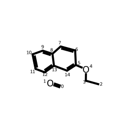 C=O.CCOc1ccc2ccccc2c1